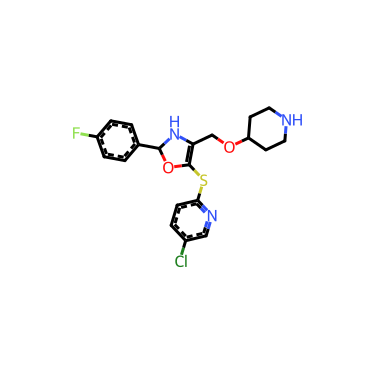 Fc1ccc(C2NC(COC3CCNCC3)=C(Sc3ccc(Cl)cn3)O2)cc1